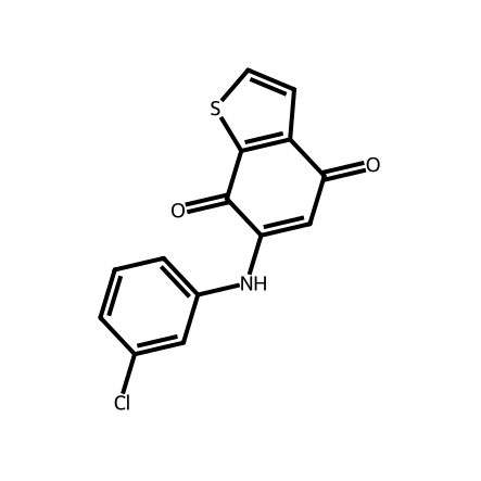 O=C1C=C(Nc2cccc(Cl)c2)C(=O)c2sccc21